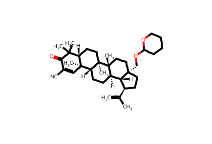 C=C(C)[C@@H]1CC[C@]2(COC3CCCCO3)CC[C@]3(C)[C@H](CC[C@@H]4[C@@]5(C)C=C(C#N)C(=O)C(C)(C)[C@@H]5CC[C@]43C)[C@@H]12